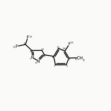 Cc1ccc(C2=NN=C(C(F)F)C2)cc1F